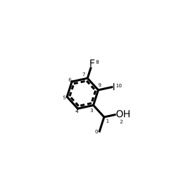 CC(O)c1cccc(F)c1I